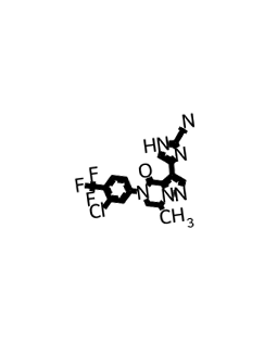 CC1CN(c2ccc(C(F)(F)F)c(Cl)c2)C(=O)c2c(-c3c[nH]c(C#N)n3)cnn21